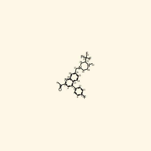 CC(=O)c1cc(-c2ccc(F)cc2)c2ccc(CN3CCN(C)C(C(F)(F)F)C3)cc2n1